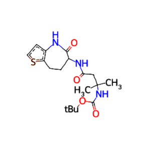 CC(C)(CC(=O)NC1CCc2sccc2NC1=O)NC(=O)OC(C)(C)C